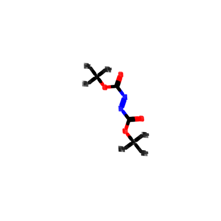 CC(C)[Si](OC(=O)N=NC(=O)O[Si](C(C)C)(C(C)C)C(C)C)(C(C)C)C(C)C